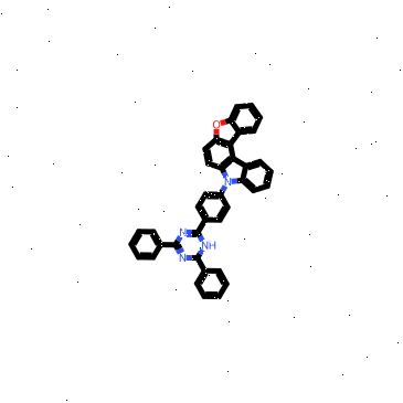 c1ccc(C2=NC(c3ccccc3)NC(c3ccc(-n4c5ccccc5c5c6c(ccc54)oc4ccccc46)cc3)=N2)cc1